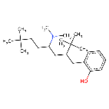 CN(C)C(CCC(C)(C)C)CC(Cc1ccccc1O)C(C)(C)C